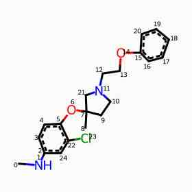 CNc1ccc(OC2(C)CCN(CCOc3ccccc3)C2)c(Cl)c1